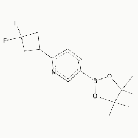 CC1(C)OB(c2ccc(C3CC(F)(F)C3)nc2)OC1(C)C